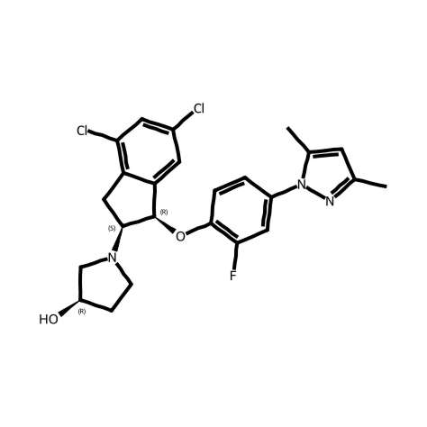 Cc1cc(C)n(-c2ccc(O[C@@H]3c4cc(Cl)cc(Cl)c4C[C@@H]3N3CC[C@@H](O)C3)c(F)c2)n1